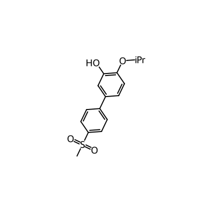 CC(C)Oc1ccc(-c2ccc(S(C)(=O)=O)cc2)cc1O